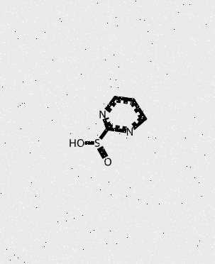 O=S(O)c1ncccn1